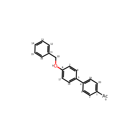 CC(=O)c1ccc(-c2ccc(OCc3ccccc3)cc2)cc1